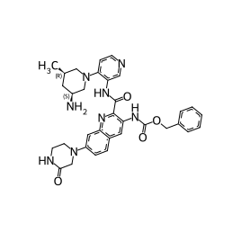 C[C@@H]1C[C@H](N)CN(c2ccncc2NC(=O)c2nc3cc(N4CCNC(=O)C4)ccc3cc2NC(=O)OCc2ccccc2)C1